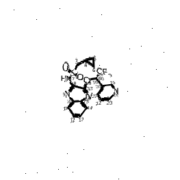 O=S(=O)(CC1CC1)Nc1nc2ccccc2nc1O[C@H](c1cccnc1)C(F)(F)F